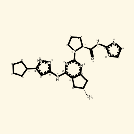 C[C@H]1Cc2nc(N3CCC[C@H]3C(=O)Nc3nccs3)nc(Nc3cc(C4CCCC4)[nH]n3)c2C1